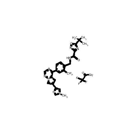 Cc1cc(-c2ncnn3cc(-c4cn(C)cn4)cc23)ccc1CNC(=O)c1noc(C(C)(C)C)n1.O=C(O)C(F)(F)F